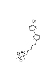 CC(=O)C(C)(CCCCCc1ccc(-c2ccc(Br)s2)s1)S(C)(=O)=O